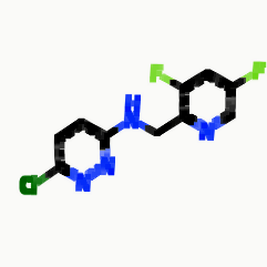 Fc1cnc(CNc2ccc(Cl)nn2)c(F)c1